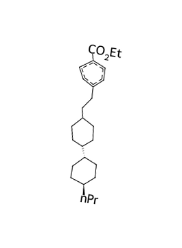 CCC[C@H]1CC[C@H](C2CCC(CCc3ccc(C(=O)OCC)cc3)CC2)CC1